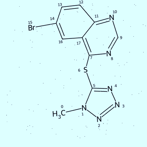 Cn1nnnc1Sc1ncnc2ccc(Br)cc12